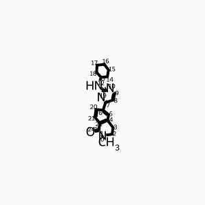 CN1CCc2cc(-c3ccnc(NC4CCCCC4)n3)ccc2C1=O